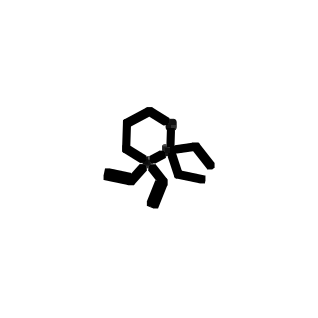 C=C[Si]1(C=C)CCCO[Si]1(CC)CC